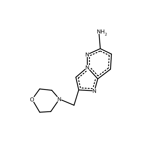 Nc1ccc2nc(CN3CCOCC3)cn2n1